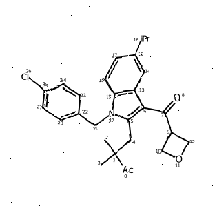 CC(=O)C(C)(C)Cc1c(C(=O)C2COC2)c2cc(C(C)C)ccc2n1Cc1ccc(Cl)cc1